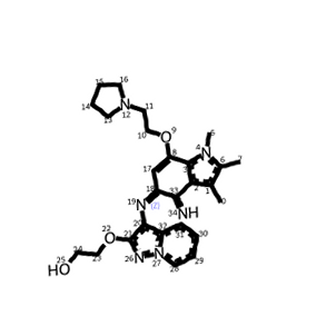 Cc1c2c(n(C)c1C)C(OCCN1CCCC1)=C/C(=N/c1c(OCCO)nn3ccccc13)C2=N